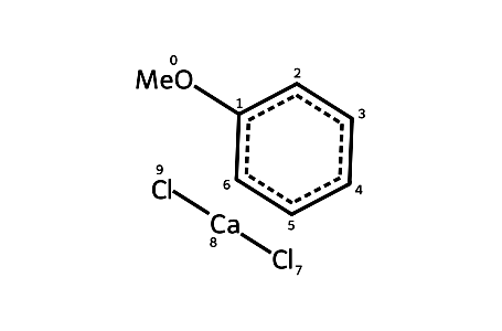 COc1ccccc1.[Cl][Ca][Cl]